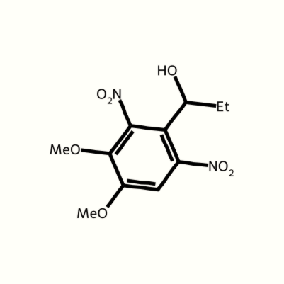 CCC(O)c1c([N+](=O)[O-])cc(OC)c(OC)c1[N+](=O)[O-]